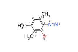 Cc1cc(C)c([N+]#N)c(Br)c1C